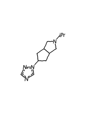 CC(C)N1CC2CC(n3cncn3)CC2C1